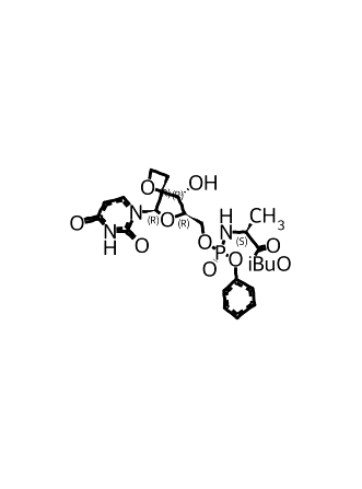 CC(C)COC(=O)[C@H](C)NP(=O)(OC[C@H]1O[C@@H](n2ccc(=O)[nH]c2=O)[C@@]2(CCO2)[C@@H]1O)Oc1ccccc1